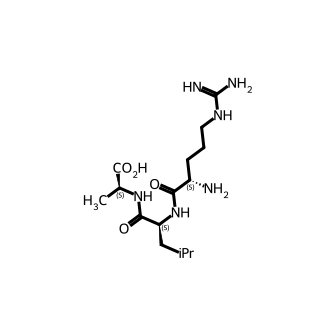 CC(C)C[C@H](NC(=O)[C@@H](N)CCCNC(=N)N)C(=O)N[C@@H](C)C(=O)O